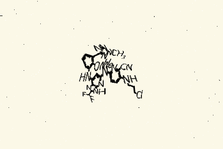 COc1c(Nc2cc(Nc3ccc(NCCCCl)c(C#N)n3)nc3[nH]c(C(F)F)nc23)cccc1-c1nnn(C)n1